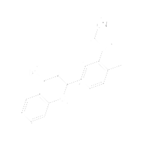 Cc1ccc(C(CCBr)Oc2ccccc2)cc1OCC#N